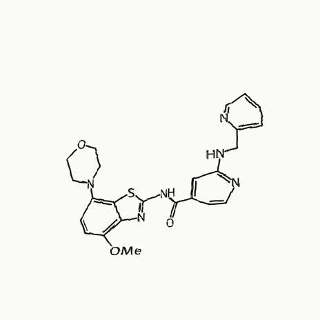 COc1ccc(N2CCOCC2)c2sc(NC(=O)c3ccnc(NCc4ccccn4)c3)nc12